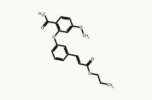 CCCOC(=O)C=Cc1cccc(Oc2cc(OC)ccc2C(C)=O)c1